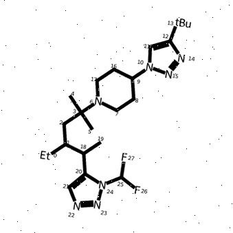 CCC(CC(C)(C)N1CCC(n2cc(C(C)(C)C)nn2)CC1)C(C)c1cnnn1C(F)F